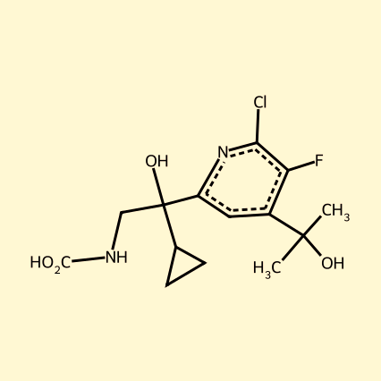 CC(C)(O)c1cc(C(O)(CNC(=O)O)C2CC2)nc(Cl)c1F